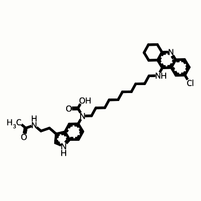 CC(=O)NCCc1c[nH]c2ccc(N(CCCCCCCCCCNc3c4c(nc5ccc(Cl)cc35)CCCC4)C(=O)O)cc12